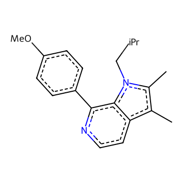 COc1ccc(-c2nccc3c(C)c(C)n(CC(C)C)c23)cc1